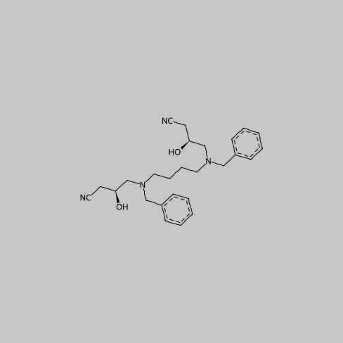 N#CC[C@H](O)CN(CCCCN(Cc1ccccc1)C[C@@H](O)CC#N)Cc1ccccc1